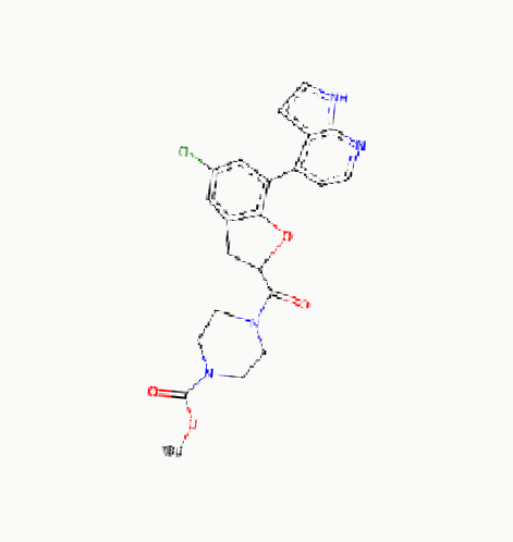 CC(C)(C)OC(=O)N1CCN(C(=O)C2Cc3cc(Cl)cc(-c4ccnc5[nH]ccc45)c3O2)CC1